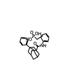 O=C(Nc1ccccc1CP(=O)(O)O)C12CC3CC(C1)CC(c1ccccc1)(C3)C2